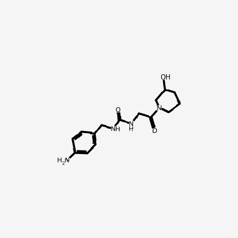 Nc1ccc(CNC(=O)NCC(=O)N2CCCC(O)C2)cc1